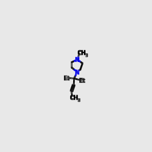 CC#CC(CC)(CC)N1CCN(C)CC1